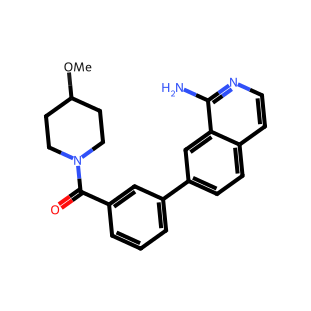 COC1CCN(C(=O)c2cccc(-c3ccc4ccnc(N)c4c3)c2)CC1